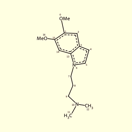 COc1cc2ccn(CCCN(C)C)c2cc1OC